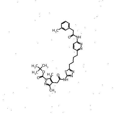 Cc1cccc(CC(=O)Nc2ccc(CCCCc3nnc(NC(=O)Cc4c(C)nn(C(=O)OC(C)(C)C)c4C)s3)nn2)c1